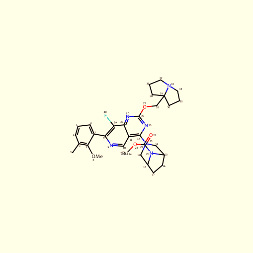 COc1c(C)cccc1-c1ncc2c(N3CC4CCC(C3)N4C(=O)OC(C)(C)C)nc(OCC34CCCN3CCC4)nc2c1F